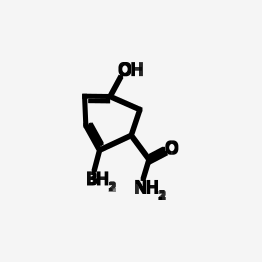 BC1=CC=C(O)CC1C(N)=O